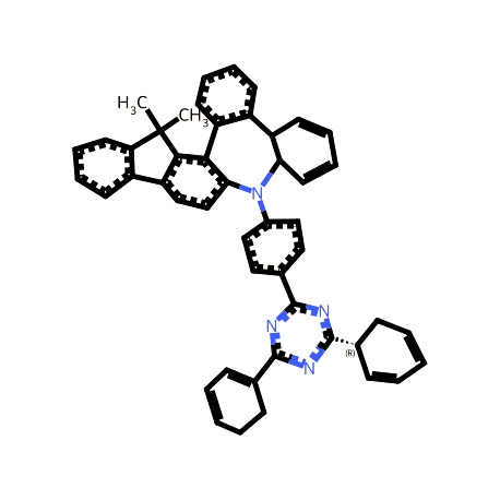 CC1(C)c2ccccc2-c2ccc3c(c21)-c1ccccc1C1C=CC=CC1N3c1ccc(-c2nc(C3=CC=CCC3)nc([C@H]3C=CC=CC3)n2)cc1